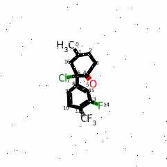 CC1CCC(=O)C(Cl)(c2ccc(C(F)(F)F)c(F)c2)C1